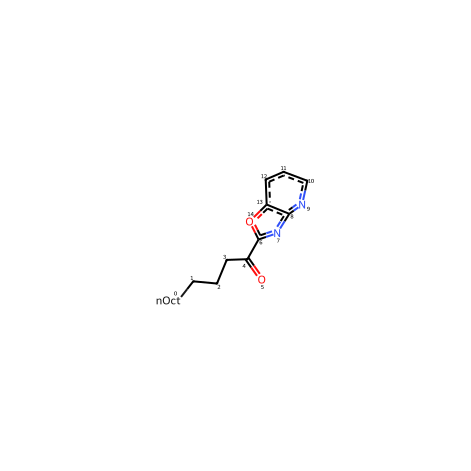 CCCCCCCCCCCC(=O)c1nc2ncccc2o1